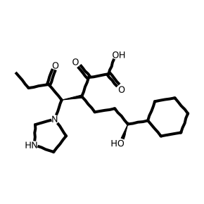 CCC(=O)[C@@H](C(CC[C@H](O)C1CCCCC1)C(=O)C(=O)O)N1CCNC1